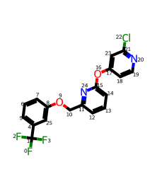 FC(F)(F)c1cccc(OCc2cccc(Oc3ccnc(Cl)c3)n2)c1